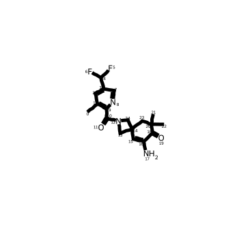 Cc1cc(C(F)F)cnc1C(=O)N1CC2(C=C(N)C(=O)C(C)(C)C2)C1